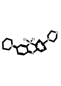 CC[Si]1(CC)C2=CC(=[N+]3CCCCC3)C=CC2=Nc2ccc(N3CCOCC3)cc21